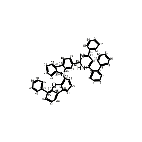 C1=C(c2ccccc2-c2ccccc2)NC(c2ccc3c4ccccc4n(-c4cccc5c4oc4c(-c6ccccc6)cccc45)c3c2)N=C1c1ccccc1